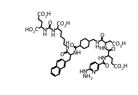 NNc1ccc(C(=O)NC(CCC(=O)O)C(=O)NC(CC(=O)O)C(=O)NCC2CCC(C(=O)NC(Cc3ccc4ccccc4c3)C(=O)NCCCCC(NC(=O)NC(CCC(=O)O)C(=O)O)C(=O)O)CC2)cn1